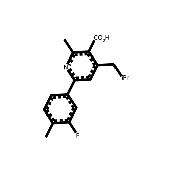 Cc1ccc(-c2cc(CC(C)C)c(C(=O)O)c(C)n2)cc1F